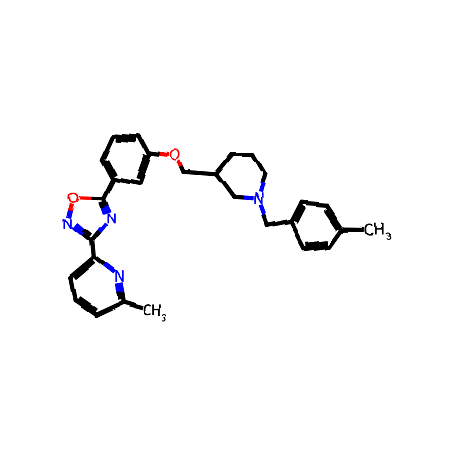 Cc1ccc(CN2CCCC(COc3cccc(-c4nc(-c5cccc(C)n5)no4)c3)C2)cc1